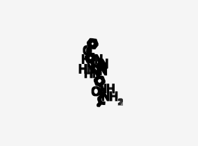 CC(C)C[C@H](N)C(=O)N[C@H]1CC[C@@H](Nc2ncnc(N)c2C(=N)c2ccc(Oc3ccccc3)cc2)CC1